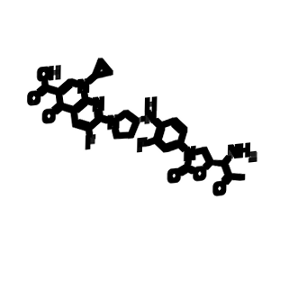 CC(=O)C(N)[C@@H]1CN(c2ccc(N[C@@H]3CCN(c4nc5c(cc4F)c(=O)c(C(=O)O)cn5C4CC4)C3)c(F)c2)C(=O)O1